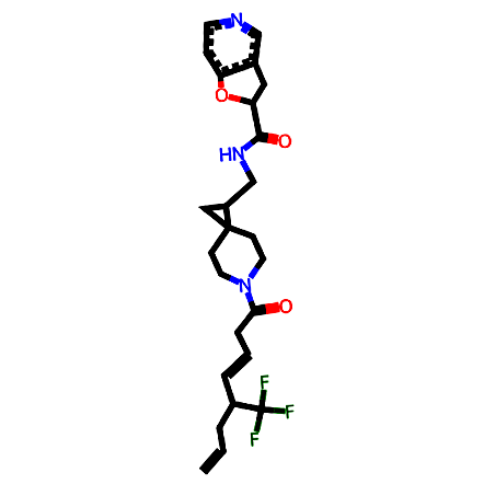 C=CCC(/C=C/CC(=O)N1CCC2(CC1)CC2CNC(=O)C1Cc2cnccc2O1)C(F)(F)F